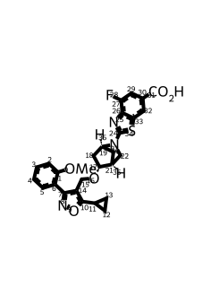 COc1ccccc1-c1noc(C2CC2)c1CO[C@@H]1C[C@@H]2C[C@H]1CN2c1nc2c(F)cc(C(=O)O)cc2s1